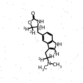 [2H]c1[nH]c2ccc(C[C@]3([2H])NC(=O)OC3([2H])[2H])cc2c1CC([2H])([2H])N(C)C